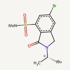 CNS(=O)(=O)c1cc(Br)cc2c1C(=O)N([C@@H](C)C(C)(C)C)C2